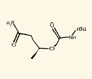 C[C@@H](CC(N)=O)OC(=O)NC(C)(C)C